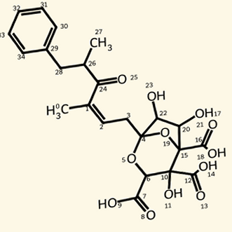 CC(=CCC12OC(C(=O)O)C(O)(C(=O)O)C(C(=O)O)(O1)C(O)C2O)C(=O)C(C)Cc1ccccc1